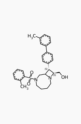 Cc1cccc(-c2ccc([C@H]3C4CN(S(=O)(=O)c5ccccc5C)CCCCN4[C@@H]3CO)cc2)c1